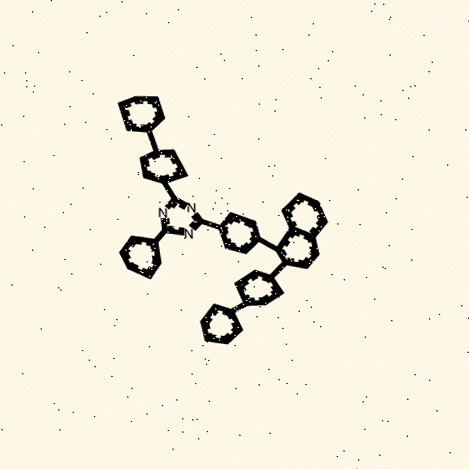 c1ccc(-c2ccc(-c3nc(-c4ccccc4)nc(-c4ccc(-c5c(-c6ccc(-c7ccccc7)cc6)ccc6ccccc56)cc4)n3)cc2)cc1